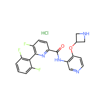 Cl.O=C(Nc1cnccc1OC1CNC1)c1ccc(F)c(-c2c(F)cccc2F)n1